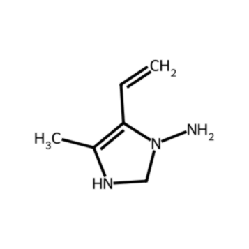 C=CC1=C(C)NCN1N